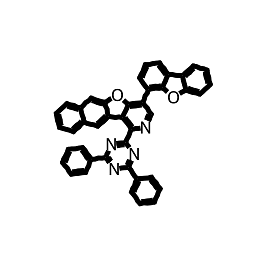 c1ccc(-c2nc(-c3ccccc3)nc(-c3ncc(-c4cccc5c4oc4ccccc45)c4oc5cc6ccccc6cc5c34)n2)cc1